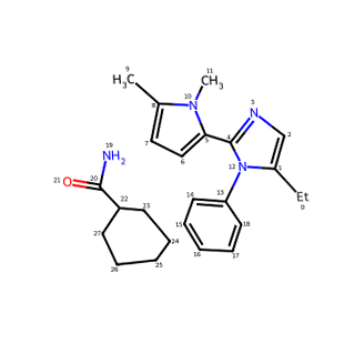 CCc1cnc(-c2ccc(C)n2C)n1-c1ccccc1.NC(=O)C1CCCCC1